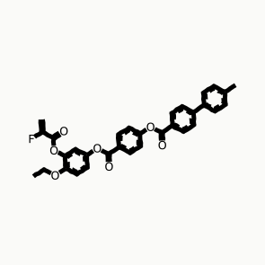 C=C(F)C(=O)Oc1cc(OC(=O)c2ccc(OC(=O)c3ccc(-c4ccc(C)cc4)cc3)cc2)ccc1OCC